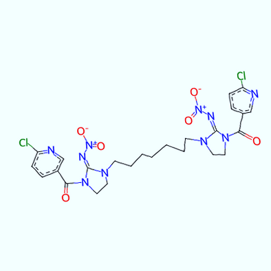 O=C(c1ccc(Cl)nc1)N1CCN(CCCCCCCN2CCN(C(=O)c3ccc(Cl)nc3)C2=N[N+](=O)[O-])C1=N[N+](=O)[O-]